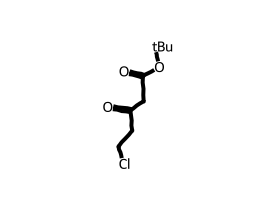 CC(C)(C)OC(=O)CC(=O)CCCl